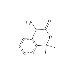 CC1(C)OC(=O)C(N)c2ccccc21